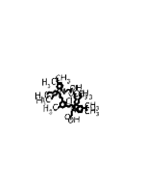 CCCCC1(CCCC)C(/C=C/C2=C(Cl)C(=C/C=C3\N(CCC(=O)O)c4ccc(C(C)C)cc4C3(CCCC)CCCC)/CC(CC)C2)=[N+](CCC(=O)O)c2ccc(C(C)C)cc21.[I-]